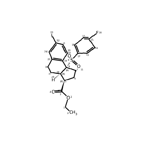 CCOC(=O)[C@@H]1CC[C@]2(S(=O)(=O)c3ccc(F)cc3)c3ccc(I)cc3CC[C@H]12